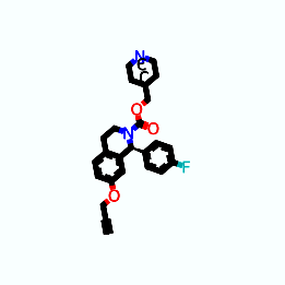 C#CCOc1ccc2c(c1)[C@H](c1ccc(F)cc1)N(C(=O)OCC13CCN(CC1)CC3)CC2